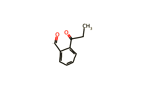 CCC(=O)c1ccccc1[C]=O